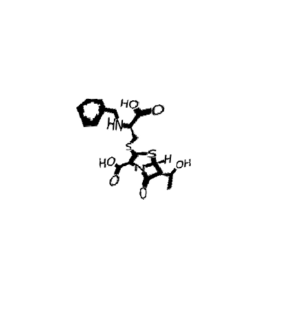 CC(O)[C@H]1C(=O)N2C(C(=O)O)=C(SC[C@@H](NCc3ccccc3)C(=O)O)S[C@H]12